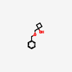 OC1(COCc2ccccc2)CCC1